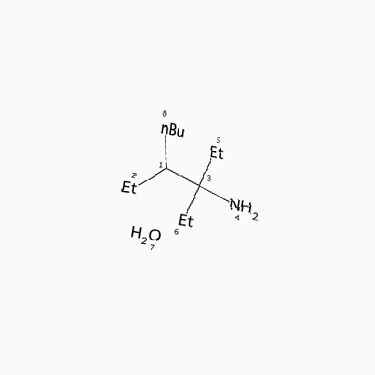 CCCCC(CC)C(N)(CC)CC.O